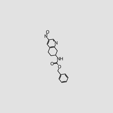 O=Nc1cnc2c(c1)CCC(NC(=O)OCc1ccccc1)C2